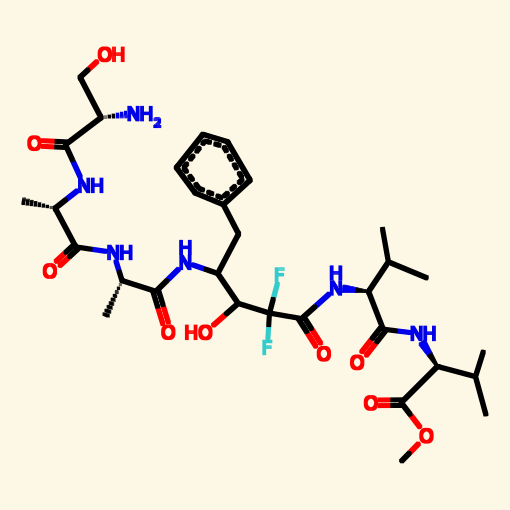 COC(=O)[C@@H](NC(=O)[C@@H](NC(=O)C(F)(F)C(O)C(Cc1ccccc1)NC(=O)[C@H](C)NC(=O)[C@H](C)NC(=O)[C@@H](N)CO)C(C)C)C(C)C